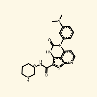 CN(C)c1cccc(N2C(=O)Nc3c(C(=O)N[C@@H]4CCCNC4)sc4nccc2c34)c1